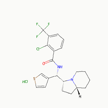 Cl.O=C(N[C@@H](c1ccsc1)[C@H]1CC[C@H]2CCCCN21)c1cccc(C(F)(F)F)c1Cl